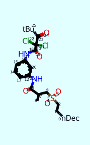 CCCCCCCCCCCCS(=O)(=O)CC(C)C(=O)Nc1cccc(NC(=O)C(Cl)(Cl)C(=O)C(C)(C)C)c1